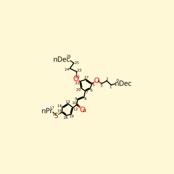 CCCCCCCCCCCCCOc1cc(C=CC(=O)c2ccc(SCCC)cc2)cc(OCCCCCCCCCCCCC)c1